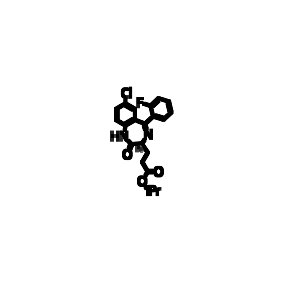 CC(C)OC(=O)CC[C@@H]1N=C(c2ccccc2F)c2cc(Cl)ccc2NC1=O